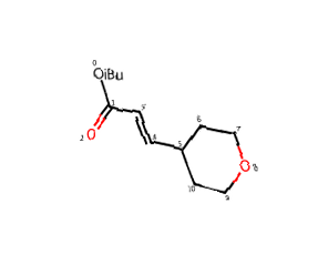 CC(C)COC(=O)C=CC1CCOCC1